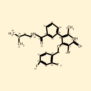 Cc1[nH]c(=O)c(Br)c(OCc2ccc(F)cc2F)c1-c1cccc(C(=O)NCCN(C)C)c1